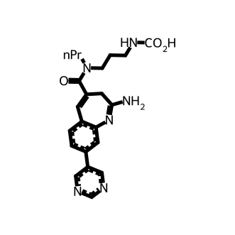 CCCN(CCCNC(=O)O)C(=O)C1=Cc2ccc(-c3cncnc3)cc2N=C(N)C1